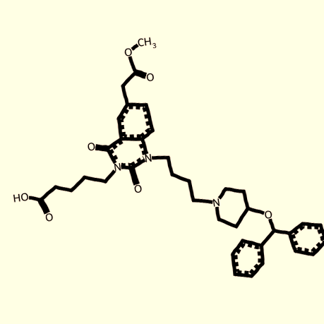 COC(=O)Cc1ccc2c(c1)c(=O)n(CCCCC(=O)O)c(=O)n2CCCCN1CCC(OC(c2ccccc2)c2ccccc2)CC1